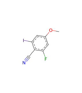 COc1cc(F)c(C#N)c(I)c1